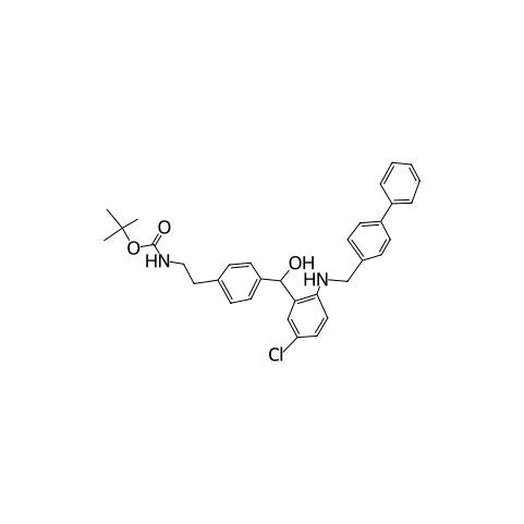 CC(C)(C)OC(=O)NCCc1ccc(C(O)c2cc(Cl)ccc2NCc2ccc(-c3ccccc3)cc2)cc1